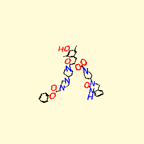 Cc1cc(C[C@@H](OC(=O)N2CCC(N3CCc4ccccc4NC3=O)CC2)C(=O)N2CCC(N3CCN(CC(=O)Oc4ccccc4)CC3)CC2)cc(C)c1O